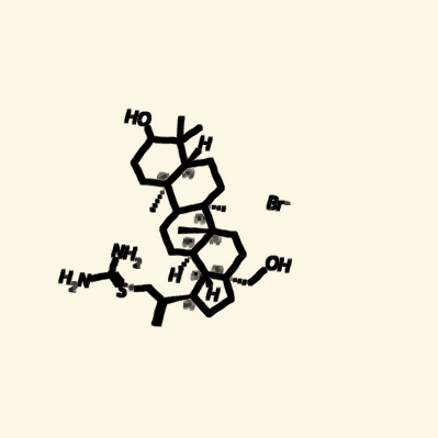 C=C(C[S+]=C(N)N)[C@@H]1CC[C@]2(CO)CC[C@]3(C)[C@H](CCC4[C@@]5(C)CCC(O)C(C)(C)[C@@H]5CC[C@]43C)[C@@H]12.[Br-]